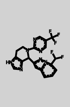 FC(F)c1cccc2cc(C3c4nc[nH]c4CCN3c3ncc(C(F)(F)F)cn3)nn12